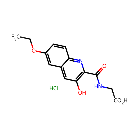 Cl.O=C(O)CNC(=O)c1nc2ccc(OCC(F)(F)F)cc2cc1O